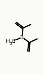 BB(C(=C)C)C(=C)C